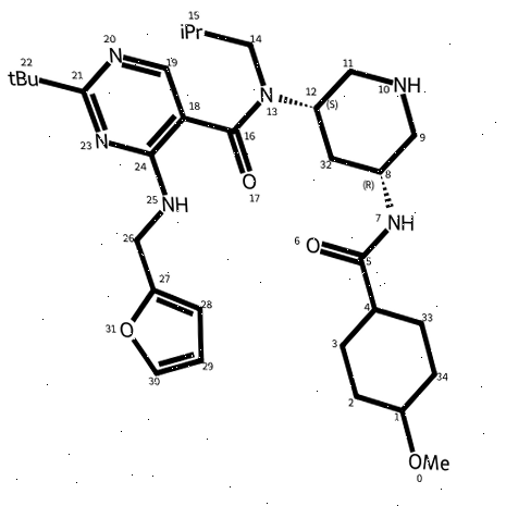 COC1CCC(C(=O)N[C@H]2CNC[C@@H](N(CC(C)C)C(=O)c3cnc(C(C)(C)C)nc3NCc3ccco3)C2)CC1